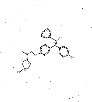 CC/C(=C(\c1ccc(O)cc1)c1ccc(OC[C@H](C)N2CC[C@@H](CC)C2)cc1)c1ccccc1